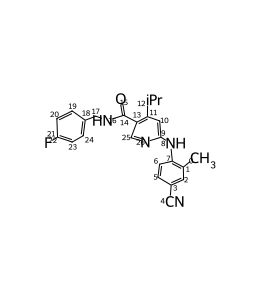 Cc1cc(C#N)ccc1Nc1cc(C(C)C)c(C(=O)NCc2ccc(F)cc2)cn1